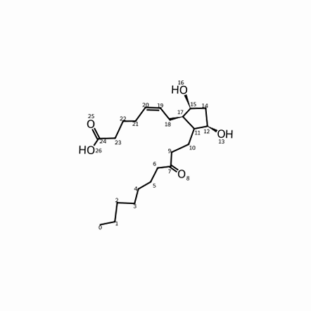 CCCCCCCC(=O)CCC1[C@H](O)C[C@H](O)[C@@H]1C/C=C\CCCC(=O)O